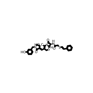 O=C(CSC=Cc1ccccc1)N[C@@H]1C(=O)N2C(C(=O)O)=C(C=C3CCN(Cc4cccc(O)c4)C3=O)CS[C@H]12